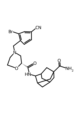 N#Cc1ccc(CN2CCO[C@@H](C(=O)NC3C4CC5CC3CC(C(N)=O)(C5)C4)C2)c(Br)c1